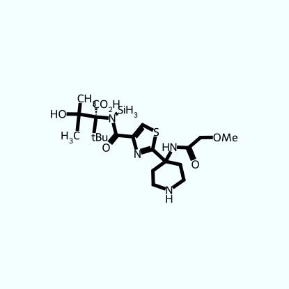 COCC(=O)NC1(c2nc(C(=O)N([SiH3])[C@@](C(=O)O)(C(C)(C)C)C(C)(C)O)cs2)CCNCC1